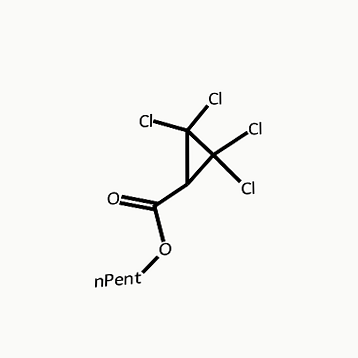 CCCCCOC(=O)C1C(Cl)(Cl)C1(Cl)Cl